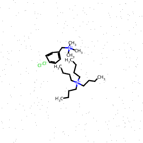 CCCC[N+](CCCC)(CCCC)CCCC.C[N+](C)(C)Cc1ccccc1.[Cl-].[Cl-]